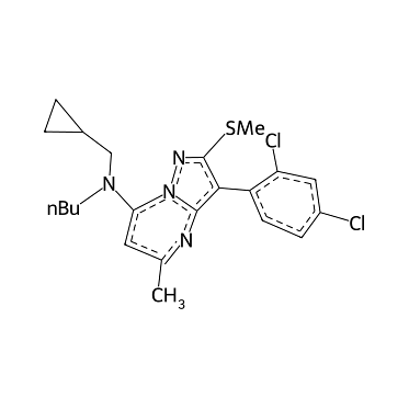 CCCCN(CC1CC1)c1cc(C)nc2c(-c3ccc(Cl)cc3Cl)c(SC)nn12